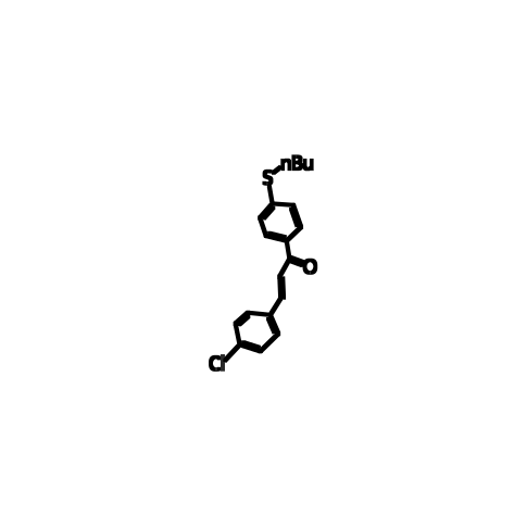 CCCCSc1ccc(C(=O)/C=C/c2ccc(Cl)cc2)cc1